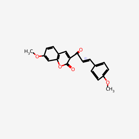 COc1ccc(/C=C/C(=O)c2cc3ccc(OC)cc3oc2=O)cc1